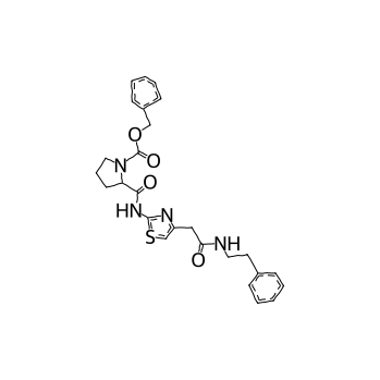 O=C(Cc1csc(NC(=O)C2CCCN2C(=O)OCc2ccccc2)n1)NCCc1ccccc1